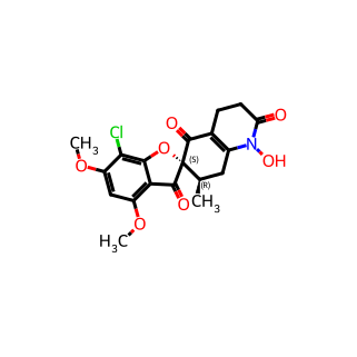 COc1cc(OC)c2c(c1Cl)O[C@@]1(C(=O)C3=C(C[C@H]1C)N(O)C(=O)CC3)C2=O